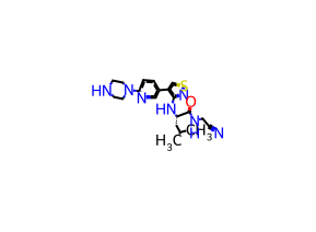 CC(C)C[C@H](Nc1nscc1-c1ccc(N2CCNCC2)nc1)C(=O)NCC#N